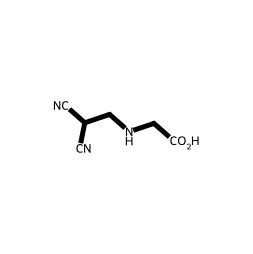 N#CC(C#N)CNCC(=O)O